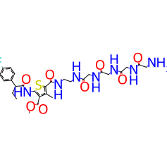 CCC(C(=O)Nc1sc(C(=O)NCCNC(=O)CNC(=O)CNC(=O)CNC(=O)CN)c(C)c1C(=O)OC)c1ccc(F)cc1